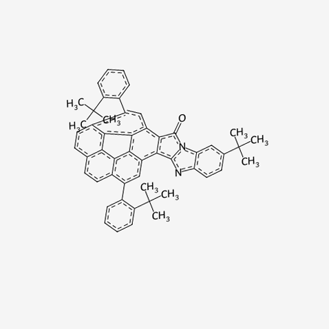 CC(C)(C)c1ccc2nc3c4c5cc(-c6ccccc6C(C)(C)C)c6ccc7ccc8c(-c9ccccc9C(C)(C)C)cc(c4c(=O)n3c2c1)c1c8c7c6c51